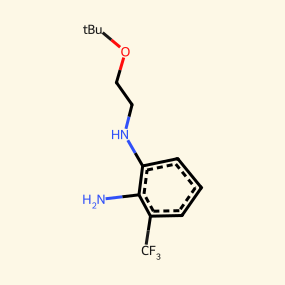 CC(C)(C)OCCNc1cccc(C(F)(F)F)c1N